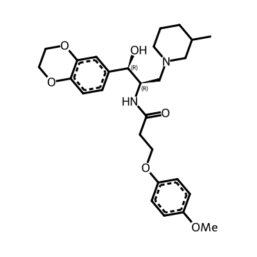 COc1ccc(OCCC(=O)N[C@H](CN2CCCC(C)C2)[C@H](O)c2ccc3c(c2)OCCO3)cc1